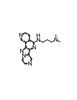 CN(C)CCCNc1nc2c(nn3ccncc23)c2cnccc12